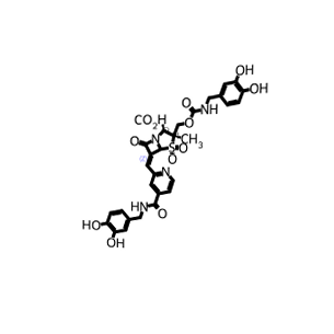 C[C@]1(COC(=O)NCc2ccc(O)c(O)c2)[C@H](C(=O)O)N2C(=O)/C(=C/c3cc(C(=O)NCc4ccc(O)c(O)c4)ccn3)C2S1(=O)=O